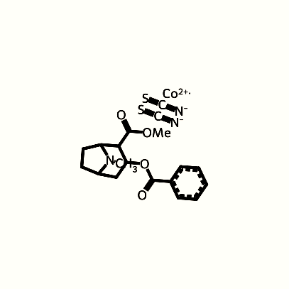 COC(=O)C1C(OC(=O)c2ccccc2)CC2CCC1N2C.[Co+2].[N-]=C=S.[N-]=C=S